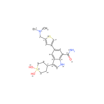 CCN(C)Cc1cc(-c2cc(C(N)=O)c3[nH]cc(C4CCS(O)(O)CC4)c3c2)cs1